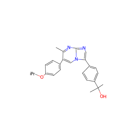 Cc1nc2ncc(-c3ccc(C(C)(C)O)cc3)n2cc1-c1ccc(OC(C)C)cc1